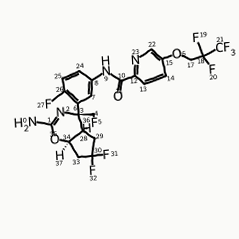 NC1=N[C@](CF)(c2cc(NC(=O)c3ccc(OCC(F)(F)C(F)(F)F)cn3)ccc2F)[C@H]2CC(F)(F)C[C@H]2O1